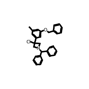 Cc1cc(OCc2ccccc2)cc(C2(Cl)CN(C(c3ccccc3)c3ccccc3)C2)c1